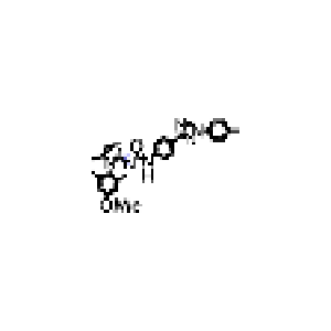 COc1cc(C)c(-n2c(C)cs/c2=N\C(=O)Nc2ccc(-c3ncn(-c4ccc(C)cc4)n3)cc2)c(C)c1